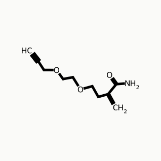 C#CCOCCOCCC(=C)C(N)=O